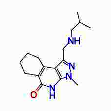 CC(C)CNCc1nn(C)c2[nH]c(=O)c3c(c12)CCCC3